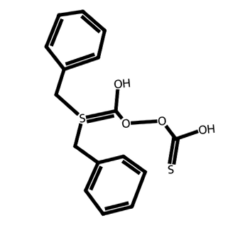 OC(=S)OOC(O)=S(Cc1ccccc1)Cc1ccccc1